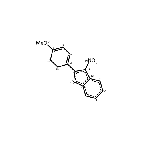 COC1=CC=C(c2sc3ccccc3c2[N+](=O)[O-])CC1